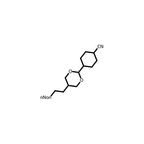 CCCCCCCCCCCC1COC(C2CCC(C#N)CC2)OC1